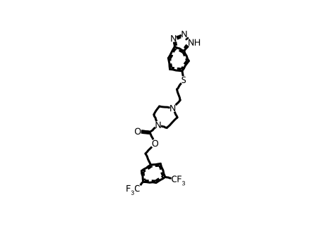 O=C(OCc1cc(C(F)(F)F)cc(C(F)(F)F)c1)N1CCN(CCSc2ccc3nn[nH]c3c2)CC1